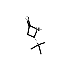 CC(C)(C)[C@@H]1CC(=O)N1